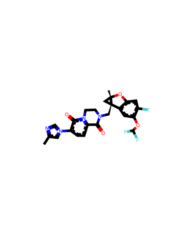 Cc1cn(-c2ccc3n(c2=O)CCN(C[C@@]24C[C@]2(C)Oc2cc(F)c(OC(F)F)cc24)C3=O)cn1